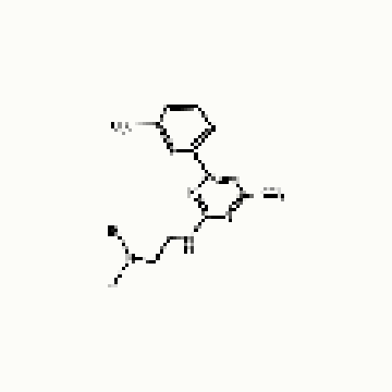 CCN(CC)CCNc1nc(-c2cccc(C(Cl)(Cl)Cl)c2)nc(C(Cl)(Cl)Cl)n1